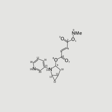 CNOC(=O)/C=C/C(=O)OC1CC2CC2N1c1cccnc1